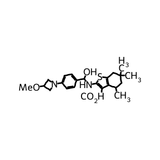 COC1CN(c2ccc(C(O)Nc3sc4c(c3C(=O)O)C(C)CC(C)(C)C4)cc2)C1